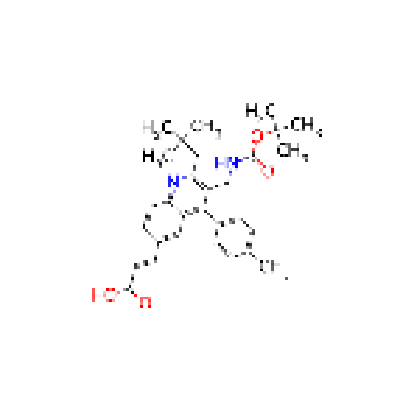 Cc1ccc(-c2c(CNC(=O)OC(C)(C)C)c(CC(C)(C)C)nc3ccc(C=CC(=O)O)cc23)cc1